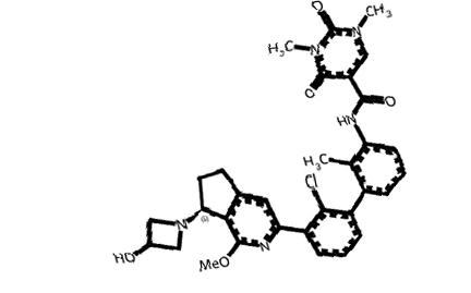 COc1nc(-c2cccc(-c3cccc(NC(=O)c4cn(C)c(=O)n(C)c4=O)c3C)c2Cl)cc2c1[C@@H](N1CC(O)C1)CC2